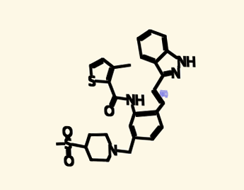 Cc1ccsc1C(=O)Nc1cc(CN2CCC(S(C)(=O)=O)CC2)ccc1/C=C/c1n[nH]c2ccccc12